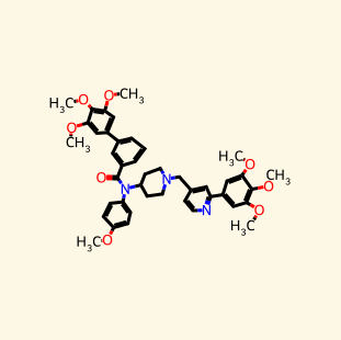 COc1ccc(N(C(=O)c2cccc(-c3cc(OC)c(OC)c(OC)c3)c2)C2CCN(Cc3ccnc(-c4cc(OC)c(OC)c(OC)c4)c3)CC2)cc1